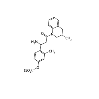 CCOC(=O)Oc1ccc(C(N)CC(=O)N2CC(C)Cc3ccccc32)c(C)c1